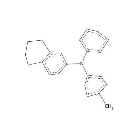 Cc1ccc(N(c2ccccc2)c2ccc3c(c2)CCCC3)cc1